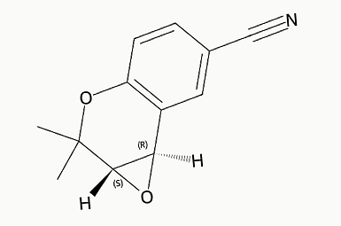 CC1(C)Oc2ccc(C#N)cc2[C@H]2O[C@@H]21